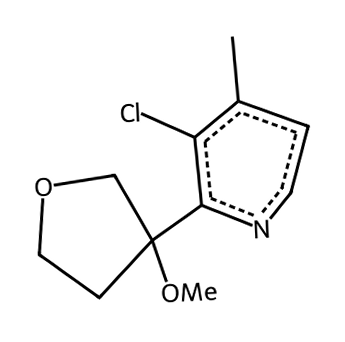 COC1(c2nccc(C)c2Cl)CCOC1